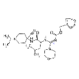 CC(C)CC(N/C(=N\C(=O)OCc1ccccc1)N1CCOCC1)C(=O)NC1(C#N)CCN(C(C)C)CC1